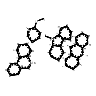 COc1ccccn1.Cn1c2ccccc2c2ccccc21.c1ccc2c(c1)cnc1ccccc12.c1ccc2nc3ccccc3cc2c1